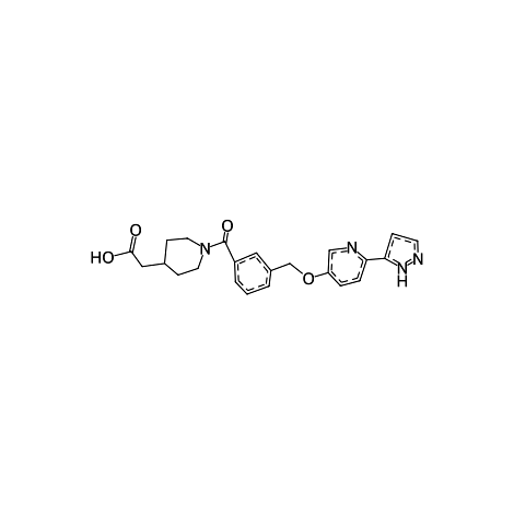 O=C(O)CC1CCN(C(=O)c2cccc(COc3ccc(-c4ccn[nH]4)nc3)c2)CC1